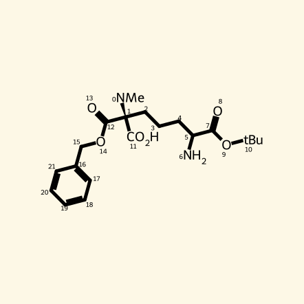 CN[C@@](CCCC(N)C(=O)OC(C)(C)C)(C(=O)O)C(=O)OCc1ccccc1